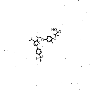 Cc1cc(OCC(C)c2sc(-c3ccc(C(F)(F)F)cc3)nc2C(C)C)ccc1OC(C)(C)C(=O)O